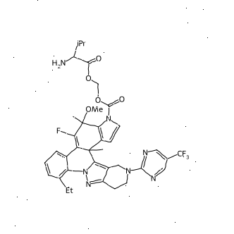 CCc1cccc2c1-n1nc3c(c1C1(C)C2=C(F)C(C)(OC)c2c1ccn2C(=O)OCOC(=O)C(N)C(C)C)CN(c1ncc(C(F)(F)F)cn1)CC3